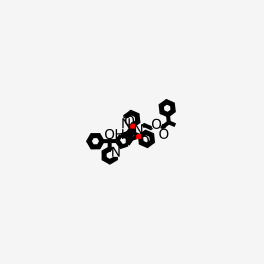 CC(C(=O)OCCN1C(=O)C2C3C=C(C(O)(c4ccccc4)c4ccccn4)C(C3=C(c3ccccc3)c3ccccn3)C2C1=O)c1ccccc1